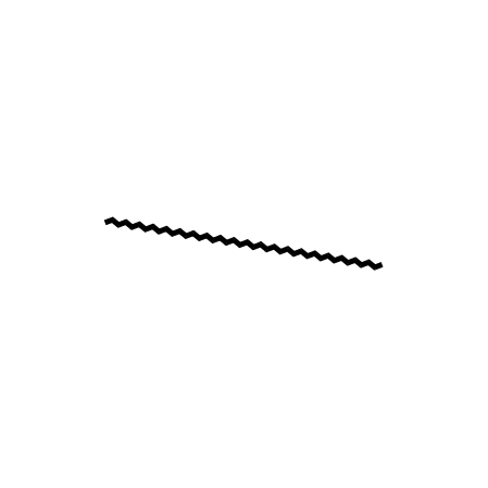 CCCCCCCCCCCCCCCCCC[CH]CCCCCCCCCCCCCCCCCCCCCCC